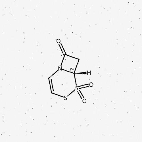 O=C1C[C@H]2N1C=CSS2(=O)=O